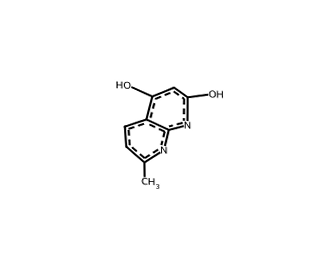 Cc1ccc2c(O)cc(O)nc2n1